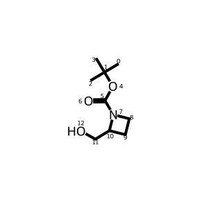 CC(C)(C)OC(=O)N1CCC1CO